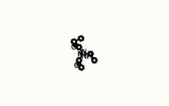 c1ccc(-c2cccc(C3N=C(c4ccc5c(c4)oc4cccc(-c6ccccc6)c45)N=C(c4ccc5oc6ccccc6c5c4)N3)c2)cc1